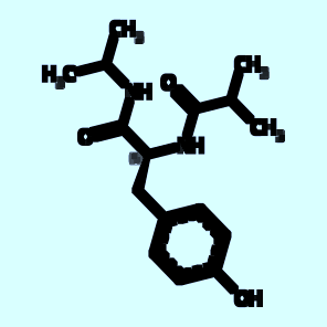 CC(C)NC(=O)[C@H](Cc1ccc(O)cc1)NC(=O)C(C)C